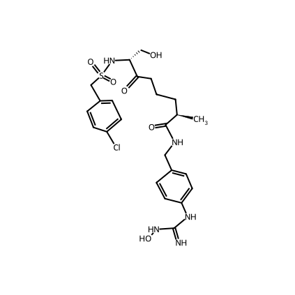 C[C@H](CCCC(=O)[C@@H](CO)NS(=O)(=O)Cc1ccc(Cl)cc1)C(=O)NCc1ccc(NC(=N)NO)cc1